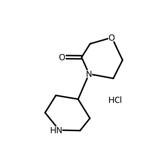 Cl.O=C1COCCN1C1CCNCC1